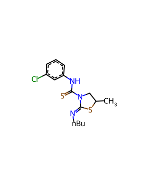 CCCCN=C1SC(C)CN1C(=S)Nc1cccc(Cl)c1